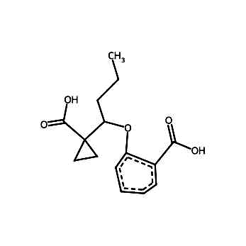 CCCC(Oc1ccccc1C(=O)O)C1(C(=O)O)CC1